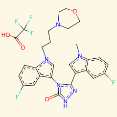 Cn1cc(-c2n[nH]c(=O)n2-c2cn(CCCN3CCOCC3)c3ccc(F)cc23)c2cc(F)ccc21.O=C(O)C(F)(F)F